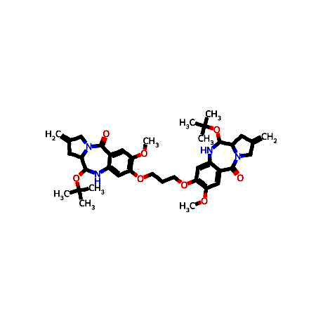 C=C1CC2C(OC(C)(C)C)Nc3cc(OCCCOc4cc5c(cc4OC)C(=O)N4CC(=C)CC4C(OC(C)(C)C)N5)c(OC)cc3C(=O)N2C1